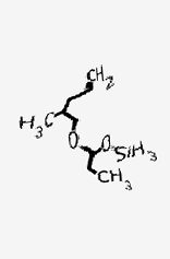 C=CCC(C)COC(CC)O[SiH3]